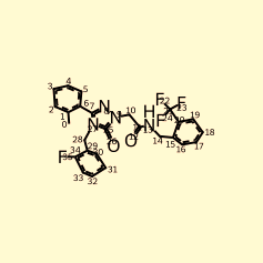 Cc1ccccc1-c1nn(CC(=O)NCc2ccccc2C(F)(F)F)c(=O)n1Cc1ccccc1F